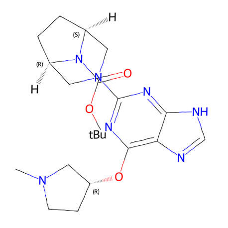 CN1CC[C@@H](Oc2nc(N3C[C@H]4CC[C@@H](C3)N4C(=O)OC(C)(C)C)nc3[nH]cnc23)C1